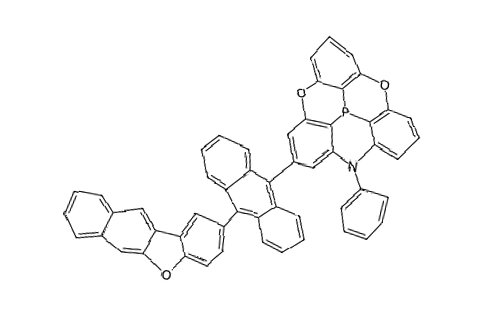 c1ccc(N2c3cccc4c3P3c5c(cccc5Oc5cc(-c6c7ccccc7c(-c7ccc8oc9cc%10ccccc%10cc9c8c7)c7ccccc67)cc2c53)O4)cc1